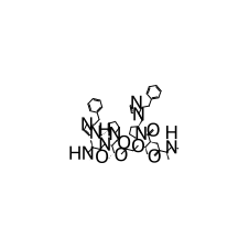 CN[C@@H](C)C(=O)C[C@H](C(=O)N1CCC[C@H]1Cn1ccnc1Cc1ccccc1)[C@@H](C)OCCO[C@H](C)[C@H](NC(=O)[C@H](C)NC)C(=O)N1CCC[C@H]1Cn1ccnc1Cc1ccccc1